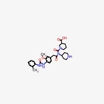 COc1cc(CC(=O)N(C(=O)N2CCCC(C(=O)O)C2)C2CCNCC2)ccc1NC(=O)Nc1ccccc1C